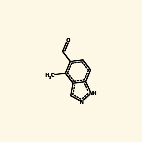 Cc1c(C=O)ccc2[nH]ncc12